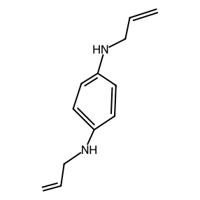 C=CCNc1ccc(NCC=C)cc1